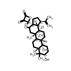 C=C(C)[C@@H]1CC[C@]2(C3(Cl)OC(=O)C3=O)C(Cl)C[C@]3(C)[C@H](CC[C@@H]4[C@@]5(C)CC[C@H](O)C(C)(C)[C@@H]5CC[C@]43C)[C@@H]12